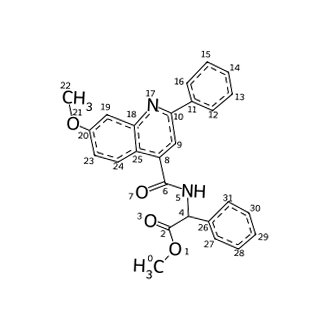 COC(=O)C(NC(=O)c1cc(-c2ccccc2)nc2cc(OC)ccc12)c1ccccc1